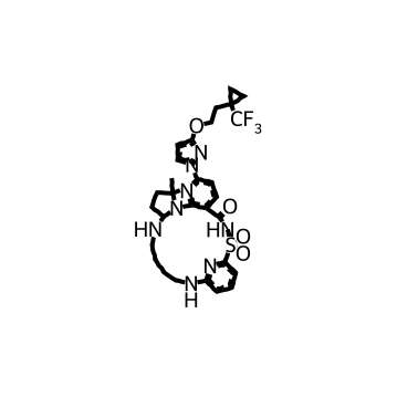 CC1(C)CCC2NCCCCNc3cccc(n3)S(=O)(=O)NC(=O)c3ccc(-n4ccc(OCCC5(C(F)(F)F)CC5)n4)nc3N21